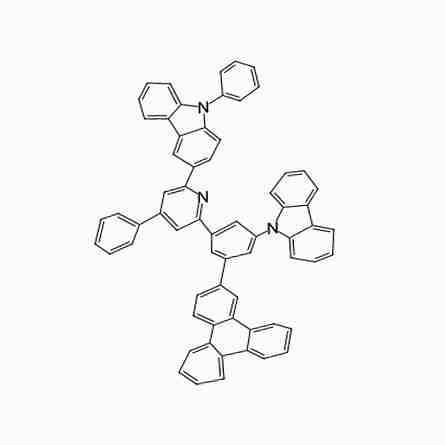 c1ccc(-c2cc(-c3cc(-c4ccc5c6ccccc6c6ccccc6c5c4)cc(-n4c5ccccc5c5ccccc54)c3)nc(-c3ccc4c(c3)c3ccccc3n4-c3ccccc3)c2)cc1